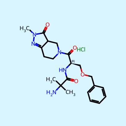 CN1N=C2CCN(C(=O)[C@@H](COCc3ccccc3)NC(=O)C(C)(C)N)CC2C1=O.Cl